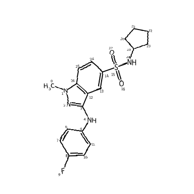 Cn1nc(Nc2ccc(F)cc2)c2cc(S(=O)(=O)NC3CCCC3)ccc21